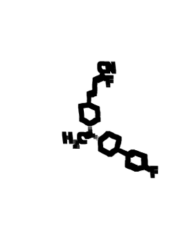 C=C([C@H]1CC[C@H](/C=C/C=C(\F)C#N)CC1)[C@H]1CC[C@H](c2ccc(F)cc2)CC1